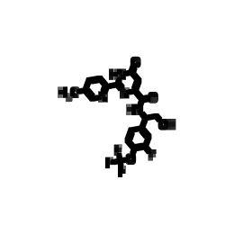 Cc1ccc(-c2nc(C(=O)NC(CO)c3ccc(OC(F)(F)F)c(F)c3)cc(=O)[nH]2)nc1